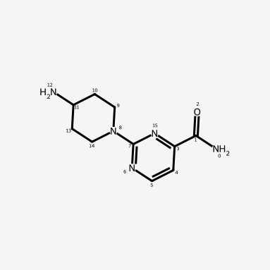 NC(=O)c1ccnc(N2CCC(N)CC2)n1